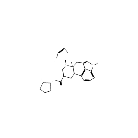 CC(C)n1cc2c3c(cccc31)C1CC(C(=O)N[C@@H]3CCC[C@@H]3O)CN(C)[C@@H]1C2.O=C(O)/C=C\C(=O)O